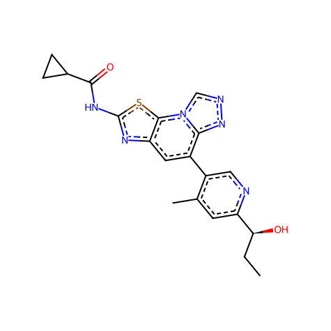 CC[C@H](O)c1cc(C)c(-c2cc3nc(NC(=O)C4CC4)sc3n3cnnc23)cn1